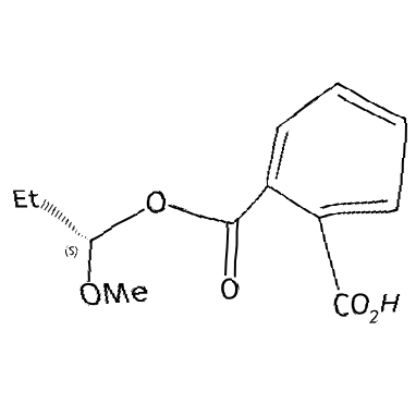 CC[C@@H](OC)OC(=O)c1ccccc1C(=O)O